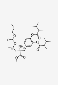 CCCOC(=O)O[C@@H](C)CC(N)(Cc1ccc(OC(=O)C(C)C(C)C)c(OC(=O)C(C)C(C)C)c1)C(=O)OC